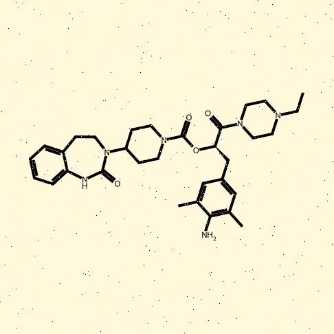 CCN1CCN(C(=O)[C@@H](Cc2cc(C)c(N)c(C)c2)OC(=O)N2CCC(N3CCc4ccccc4NC3=O)CC2)CC1